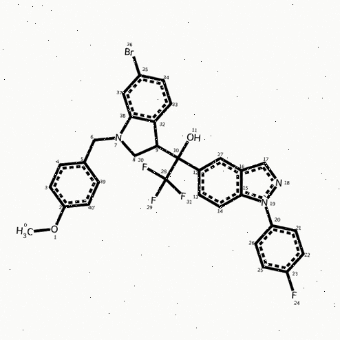 COc1ccc(CN2CC(C(O)(c3ccc4c(cnn4-c4ccc(F)cc4)c3)C(F)(F)F)c3ccc(Br)cc32)cc1